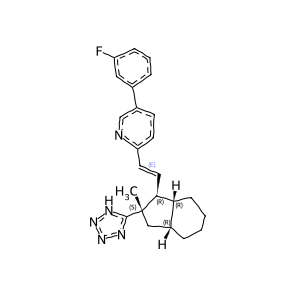 C[C@]1(c2nnn[nH]2)C[C@H]2CCCC[C@H]2[C@@H]1/C=C/c1ccc(-c2cccc(F)c2)cn1